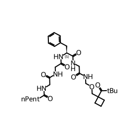 CCCCCC(=O)NCC(=O)NCC(=O)N[C@@H](Cc1ccccc1)C(=O)NCC(=O)NCOCC1(C(=O)C(C)(C)C)CCC1